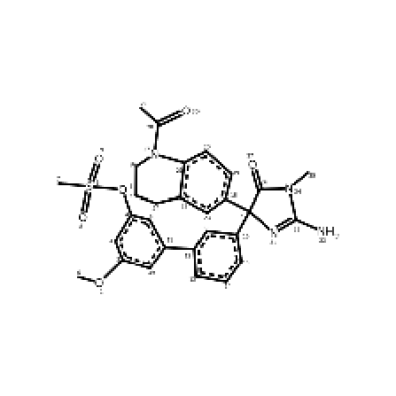 COc1cc(OS(C)(=O)=O)cc(-c2cccc(C3(c4ccc5c(c4)CCCN5C(C)=O)N=C(N)N(C)C3=O)c2)c1